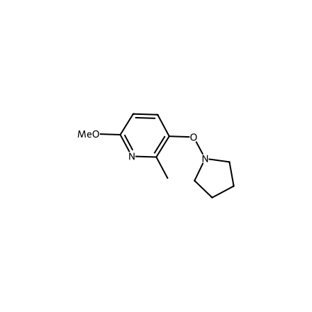 COc1ccc(ON2CCCC2)c(C)n1